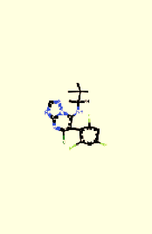 [2H]C(C)(Nc1c(-c2c(F)cc(F)cc2F)c(Cl)nc2ncnn12)C(C)(C)C